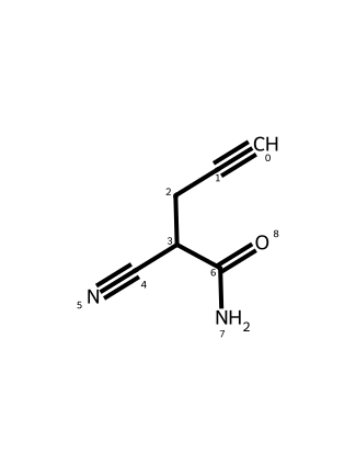 C#CCC(C#N)C(N)=O